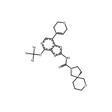 [2H]C([2H])([2H])Oc1ncc(C2=CCOCC2)c2sc(NC(=O)N3CC[C@@]4(CCCOC4)C3)nc12